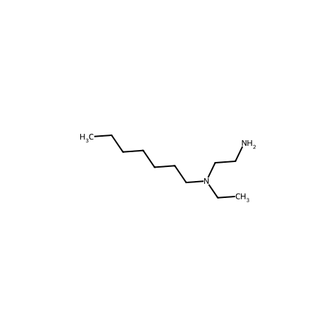 CCCCCCCN(CC)CCN